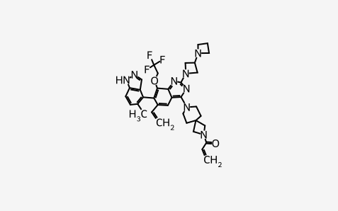 C=CC(=O)N1CC2(CCN(c3nc(N4CC(N5CCC5)C4)nc4c(OCC(F)(F)F)c(-c5c(C)ccc6[nH]ncc56)c(C=C)cc34)CC2)C1